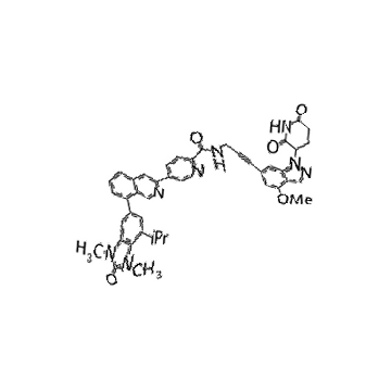 COc1cc(C#CCNC(=O)c2ccc(-c3cc4cccc(-c5cc(C(C)C)c6c(c5)n(C)c(=O)n6C)c4cn3)cn2)cc2c1cnn2C1CCC(=O)NC1=O